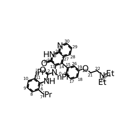 CCCN(C(=O)Nc1c(C(C)C)cccc1C(C)C)c1c(-c2cccc(OCCN(CC)CC)c2)c2cccnc2[nH]c1=O